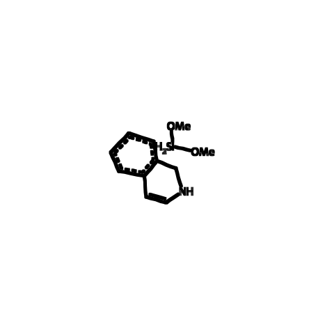 C1=Cc2ccccc2CN1.CO[SiH2]OC